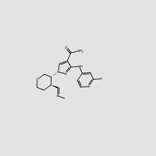 CN=C[C@H]1CCOC[C@@H]1n1cc(C(N)=O)c(Nc2ccnc(F)c2)n1